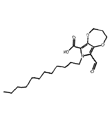 CCCCCCCCCCCCn1c(C=O)c2c(c1C(=O)O)OCCCO2